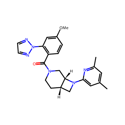 COc1ccc(C(=O)N2CC[C@H]3CN(c4cc(C)cc(C)n4)[C@H]3C2)c(-n2nccn2)c1